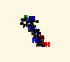 Cc1nnn(-c2ccccc2F)c1-c1cn(-c2ccc(C(=O)NC(C)(C)CO)cn2)cn1